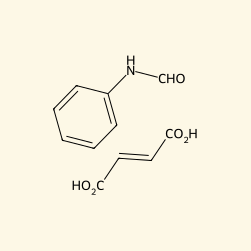 O=C(O)/C=C/C(=O)O.O=CNc1ccccc1